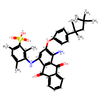 Cc1cc(C)c(S(=O)(=O)O)c(C)c1Nc1cc(Oc2ccc(C(C)(C)CC(C)(C)C)cc2)c(N)c2c1C(=O)c1ccccc1C2=O